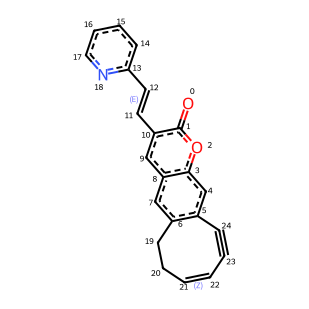 O=c1oc2cc3c(cc2cc1/C=C/c1ccccn1)CC/C=C\C#C3